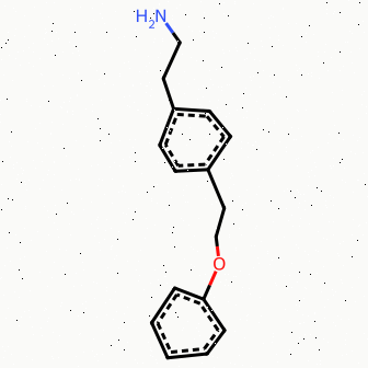 NCCc1ccc(CCOc2ccccc2)cc1